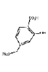 CSCc1ccc(C(=O)O)c(O)c1